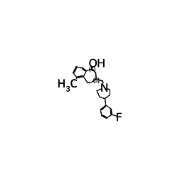 Cc1cccc2c1CC[C@H](CN1CCC(c3cccc(F)c3)CC1)C[C@@H]2O